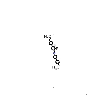 CCCc1ccc(-c2ccc(/C=C/C3CCC(c4ccc(CC)cc4F)CC3)c(F)c2F)cc1